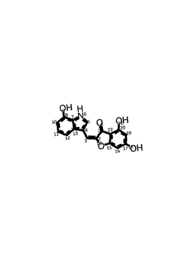 O=C1C(=Cc2c[nH]c3c(O)cccc23)Oc2cc(O)cc(O)c21